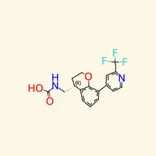 O=C(O)NC[C@@H]1CCOc2c(-c3ccnc(C(F)(F)F)c3)cccc21